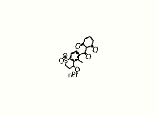 CCCOC1CCS(=O)(=O)c2ccc(C(=O)C3C(=O)CCCC3=O)c(C)c21